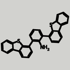 Nc1c(-c2cccc3c2sc2ccccc23)cccc1-c1cccc2c1sc1ccccc12